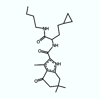 CCCCNC(=O)C(CCC1CC1)NC(=O)c1[nH]c2c(c1C)C(=O)CC(C)(C)C2